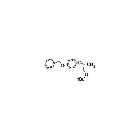 CCCCOC[C@@H](C)Oc1ccc(OCc2ccccc2)cc1